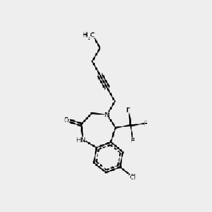 CCCC#CCN1CC(=O)Nc2ccc(Cl)cc2C1C(F)(F)F